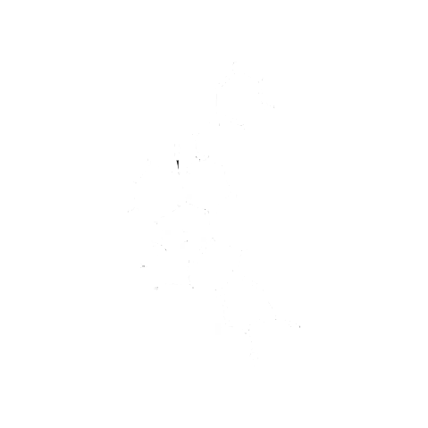 O=C(Cc1ccc(Cl)c(Cl)c1)N1CCN(Cc2ccccc2)[C@H]2CCC[C@@H](N3CCCC3)[C@@H]21